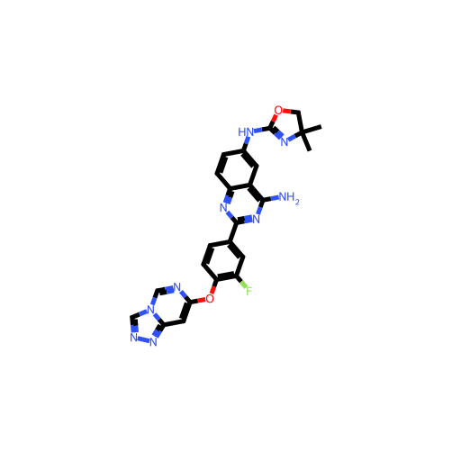 CC1(C)COC(Nc2ccc3nc(-c4ccc(Oc5cc6nncn6cn5)c(F)c4)nc(N)c3c2)=N1